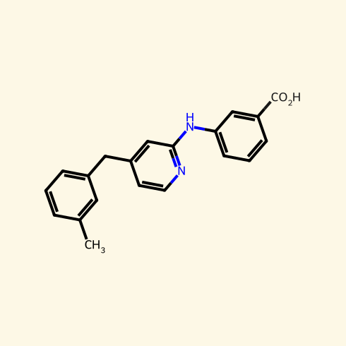 Cc1cccc(Cc2ccnc(Nc3cccc(C(=O)O)c3)c2)c1